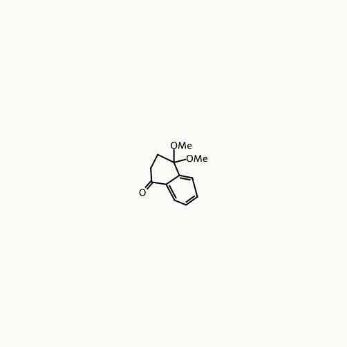 COC1(OC)CCC(=O)c2ccccc21